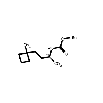 CC1(CC[C@@H](NC(=O)OC(C)(C)C)C(=O)O)CCC1